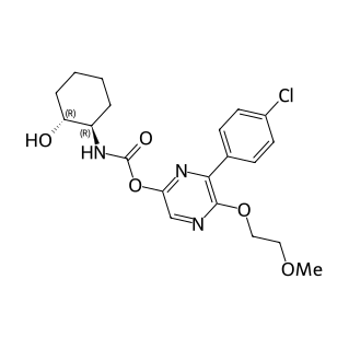 COCCOc1ncc(OC(=O)N[C@@H]2CCCC[C@H]2O)nc1-c1ccc(Cl)cc1